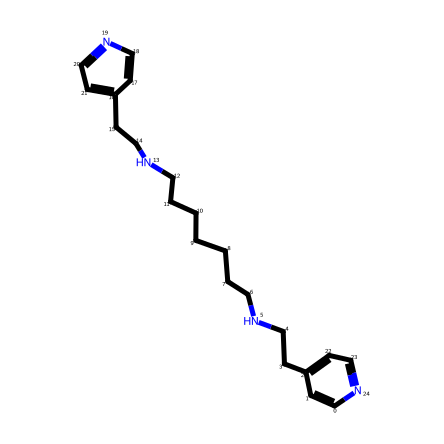 c1cc(CCNCCCCCCCNCCc2ccncc2)ccn1